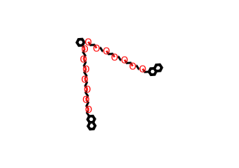 c1ccc(OCCOCCOCCOCCOCCOCCOCc2ccc3ccccc3c2)c(OCCOCCOCCOCCOCCOCCOCc2ccc3ccccc3c2)c1